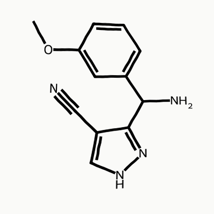 COc1cccc(C(N)c2n[nH]cc2C#N)c1